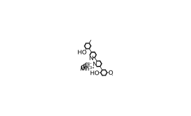 COc1ccc(O)c(-c2ccc(-c3ccc(-c4cc(C)ccc4O)cn3)nc2)c1.[Cl-].[Cl-].[Cl-].[Mn+3]